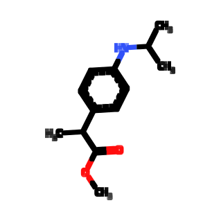 COC(=O)C(C)c1ccc(NC(C)C)cc1